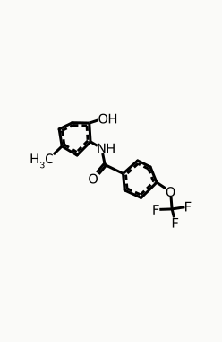 Cc1ccc(O)c(NC(=O)c2ccc(OC(F)(F)F)cc2)c1